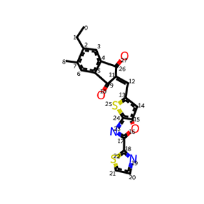 CCc1cc2c(cc1C)C(=O)/C(=C\c1cc3oc(-c4nccs4)nc3s1)C2=O